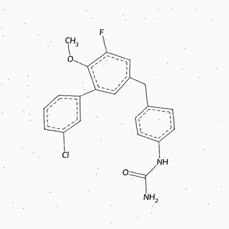 COc1c(F)cc(Cc2ccc(NC(N)=O)cc2)cc1-c1cccc(Cl)c1